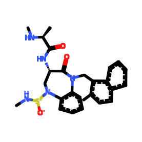 CN[C@@H](C)C(=O)N[C@H]1CN([S+]([O-])NC)c2ccccc2N(Cc2c(C)ccc3ccccc23)C1=O